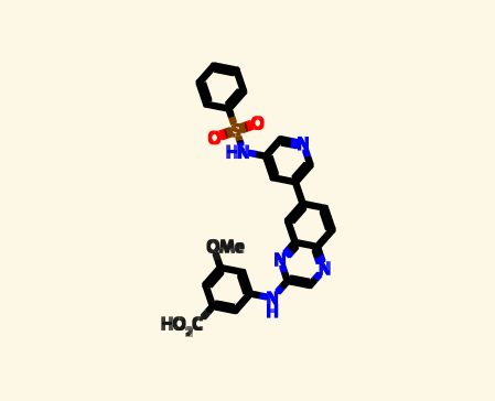 COc1cc(Nc2cnc3ccc(-c4cncc(NS(=O)(=O)c5ccccc5)c4)cc3n2)cc(C(=O)O)c1